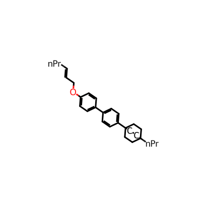 CCCC=CCOc1ccc(-c2ccc(C34CCC(CCC)(CC3)CC4)cc2)cc1